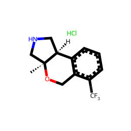 C[C@]12CNC[C@H]1c1cccc(C(F)(F)F)c1CO2.Cl